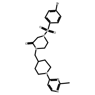 Cc1nccc(N2CCC(CN3CCN(S(=O)(=O)c4ccc(Br)cc4)CC3=O)CC2)n1